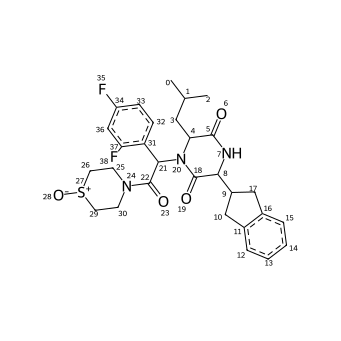 CC(C)CC1C(=O)NC(C2Cc3ccccc3C2)C(=O)N1C(C(=O)N1CC[S+]([O-])CC1)c1ccc(F)cc1F